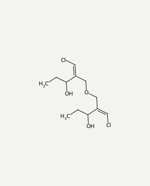 CCC(O)/C(=C\Cl)COC/C(=C/Cl)C(O)CC